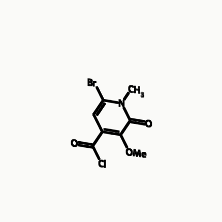 COc1c(C(=O)Cl)cc(Br)n(C)c1=O